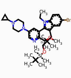 CCn1c(-c2cc(N3CCN(C4CC4)CC3)cnc2[C@H](C)OC)c(CC(C)(C)CO[Si](C)(C)C(C)(C)C)c2cc(Br)ccc21